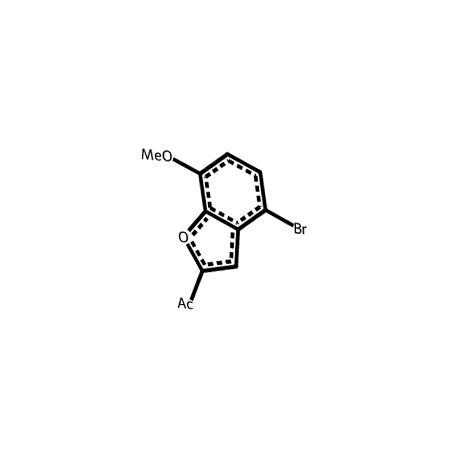 COc1ccc(Br)c2cc(C(C)=O)oc12